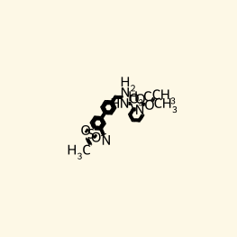 CCCS(=O)(=O)c1ccc(-c2ccc(C[C@@H](N)NC(=O)[C@@H]3CCCCN3C(=O)OC(C)(C)C)cc2)cc1C#N